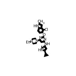 CCN1CCN(c2cc(Nc3cc(C4CC4)[nH]n3)nc(Oc3ccc4[nH]c(C)cc4c3Cl)n2)CC1